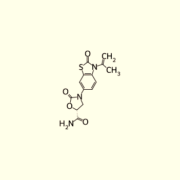 C=C(C)n1c(=O)sc2cc(N3C[C@H](C(N)=O)OC3=O)ccc21